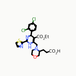 CCOC(=O)C1=C(CN2CCOCC2CCC(=O)O)NC(c2nccs2)=NC1c1ccc(Cl)cc1Cl